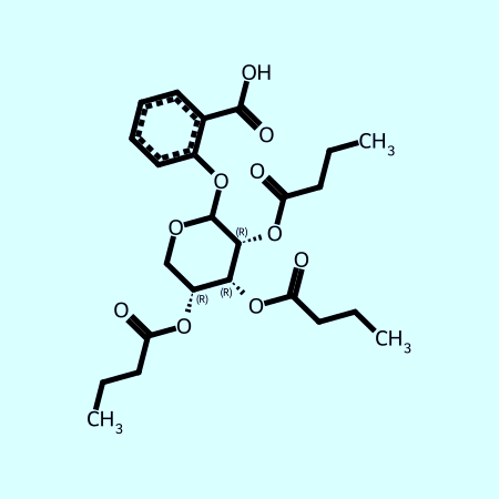 CCCC(=O)O[C@@H]1[C@H](OC(=O)CCC)COC(Oc2ccccc2C(=O)O)[C@@H]1OC(=O)CCC